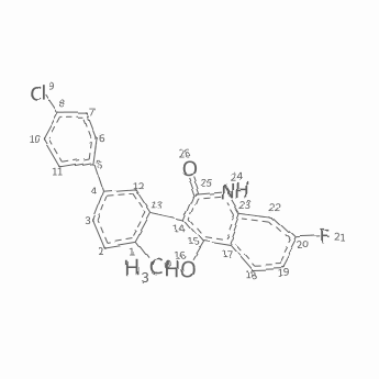 Cc1ccc(-c2ccc(Cl)cc2)cc1-c1c(O)c2ccc(F)cc2[nH]c1=O